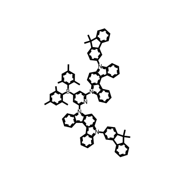 Cc1cc(C)c(B(c2cc(-n3c4ccccc4c4c5c6ccccc6n(-c6ccc7c(c6)-c6ccccc6C7(C)C)c5ccc43)nc(-n3c4ccccc4c4c5c6ccccc6n(-c6ccc7c(c6)-c6ccccc6C7(C)C)c5ccc43)c2)c2c(C)cc(C)cc2C)c(C)c1